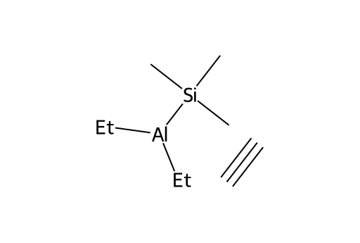 C#C.C[CH2][Al]([CH2]C)[Si](C)(C)C